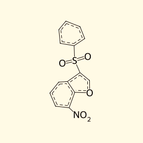 O=[N+]([O-])c1cccc2c(S(=O)(=O)c3ccccc3)coc12